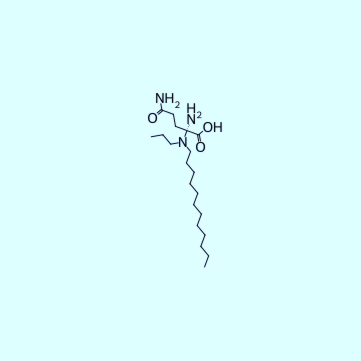 CCCCCCCCCCCCN(CCC)[C@@](N)(CCC(N)=O)C(=O)O